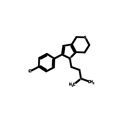 CN(C)CCn1c(-c2ccc(Cl)cc2)cc2c1CCSC2